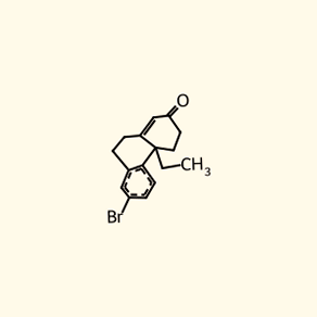 CCC12CCC(=O)C=C1CCc1cc(Br)ccc12